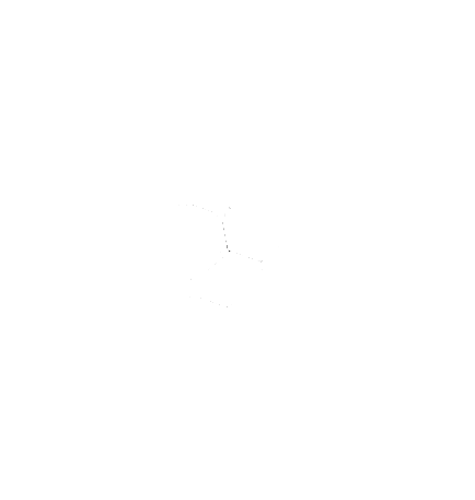 CBr.CCC(=O)OBr